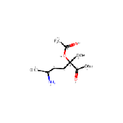 COC(=O)C(CCC(N)C=O)(OC)OC(=O)C(F)(F)F